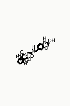 O=C(CN1C(=O)[C@@H]2[C@H]3CC[C@H](C3)[C@@H]2C1=O)NCc1ccc2c(c1)OC[C@@H](O)N2